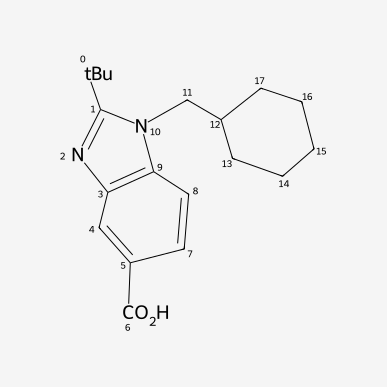 CC(C)(C)c1nc2cc(C(=O)O)ccc2n1CC1CCCCC1